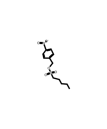 CCCCCS(=O)(=O)OCc1ccc([N+](=O)[O-])cc1